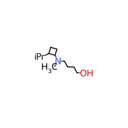 CC(C)C1CCC1N(C)CCCCO